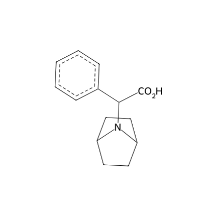 O=C(O)C(c1ccccc1)N1C2CCC1CC2